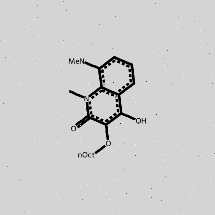 CCCCCCCCOc1c(O)c2cccc(NC)c2n(C)c1=O